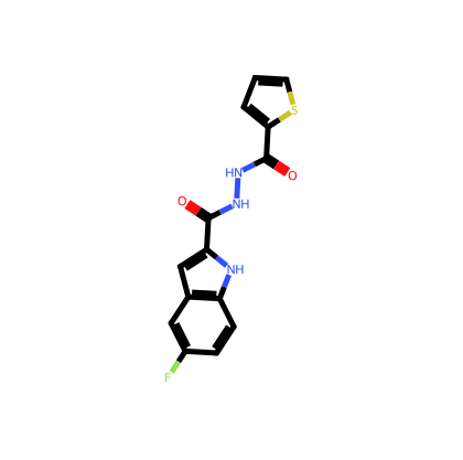 O=C(NNC(=O)c1cccs1)c1cc2cc(F)ccc2[nH]1